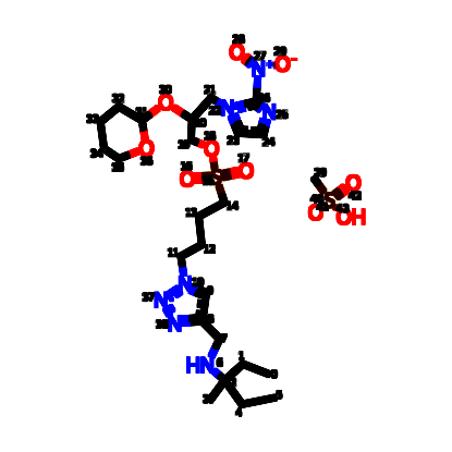 CCC(C)(CC)NCc1cn(CCCCS(=O)(=O)OCC(Cn2ccnc2[N+](=O)[O-])OC2CCCCO2)nn1.CS(=O)(=O)O